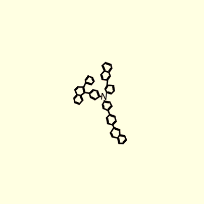 c1ccc(-c2ccc3ccccc3c2-c2ccc(N(c3ccc(-c4ccc(-c5ccc6ccccc6c5)cc4)cc3)c3cccc(-c4ccc5ccccc5c4)c3)cc2)cc1